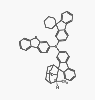 C[C@H]1C2CCC3CC(C2)CC1C31c2ccccc2-c2ccc(N(c3ccc4c(c3)C3(CCCCC3)c3ccccc3-4)c3ccc4c(c3)sc3ccccc34)cc21